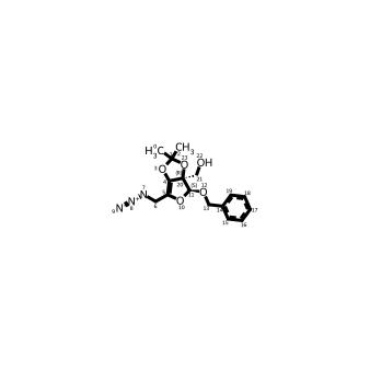 CC1(C)OC2=C(CN=[N+]=[N-])O[C@H](OCc3ccccc3)[C@]2(CO)O1